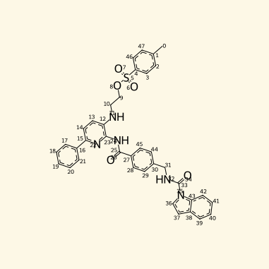 Cc1ccc(S(=O)(=O)OCCNc2ccc(-c3ccccc3)nc2NC(=O)c2ccc(CNC(=O)n3ccc4ccccc43)cc2)cc1